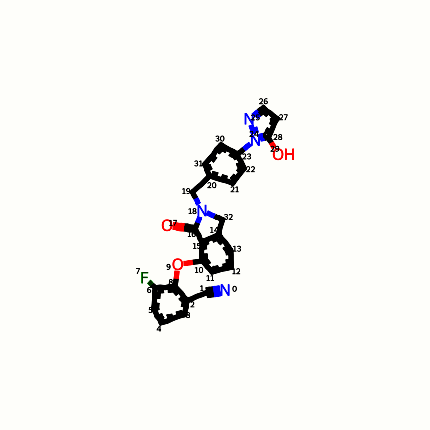 N#Cc1cccc(F)c1Oc1cccc2c1C(=O)N(Cc1ccc(-n3nccc3O)cc1)C2